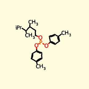 Cc1ccc(OP(OCCC(C)C(C)C(C)C)Oc2ccc(C)cc2)cc1